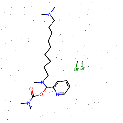 CBr.CBr.CN(C)CCCCCCCCCN(C)C(OC(=O)N(C)C)c1ccccn1